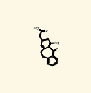 O=C(O)Cc1cc(S)c2c(c1)CCc1ccccc1C2=O